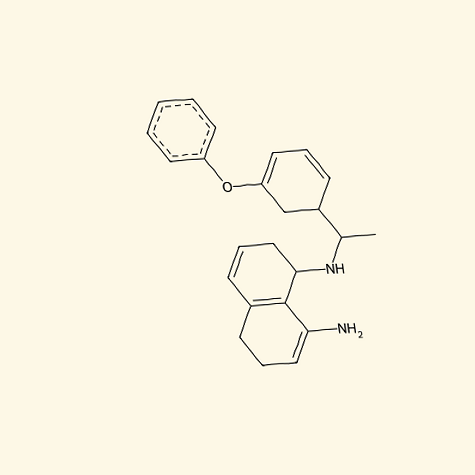 CC(NC1CC=CC2=C1C(N)=CCC2)C1C=CC=C(Oc2ccccc2)C1